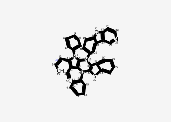 C=Cc1c2c(n(-c3ccccc3)c1/C=C\C)N(c1ccc3oc4ccncc4c3c1)c1c(sc3ccccc13)B2c1ccccc1